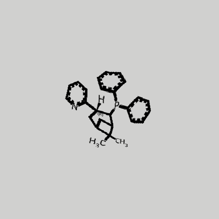 CC1(C)C2CC1C(P(c1ccccc1)c1ccccc1)[C@@H](c1ccccn1)C2